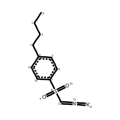 CCCCc1ccc(S(=O)(=O)C=[N+]=[N-])cc1